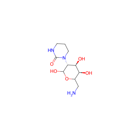 NCC1OC(O)[C@H](N2CCCNC2=O)[C@@H](O)[C@H]1O